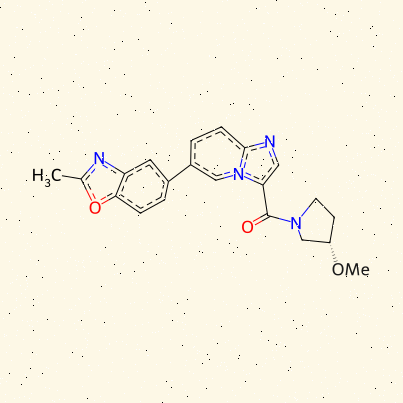 CO[C@H]1CCN(C(=O)c2cnc3ccc(-c4ccc5oc(C)nc5c4)cn23)C1